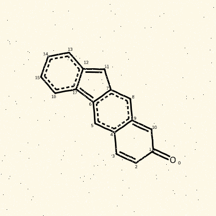 O=C1C=Cc2cc3c(cc2=C1)C=c1ccccc1=3